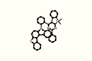 C[Si]1(C)c2ccccc2-c2c(-c3ccccc3-n3c4ccccc4c4c5c(ccc43)sc3ccccc35)nc(-c3ccccc3)nc21